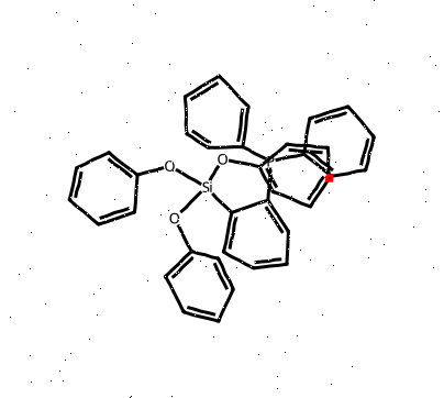 c1ccc(O[Si](Oc2ccccc2)(Oc2ccccc2)c2ccccc2P(c2ccccc2)c2ccccc2)cc1